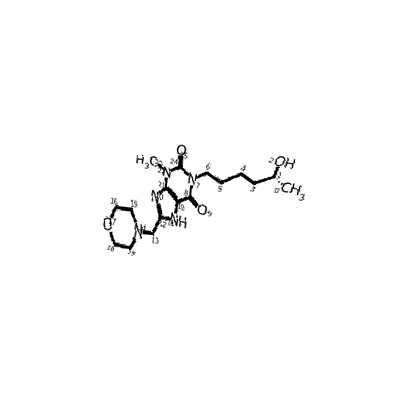 C[C@@H](O)CCCCn1c(=O)c2[nH]c(CN3CCOCC3)nc2n(C)c1=O